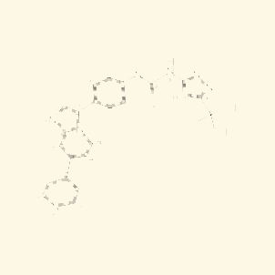 CC(C)(C)c1nnc(NC(=O)Nc2ccc(-c3cnc4cc(-c5ccncc5)ccn34)cc2)s1